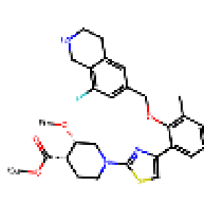 CCO[C@@H]1CN(c2nc(-c3cccc(C)c3OCc3cc(F)c4c(c3)CCNC4)cs2)CC[C@@H]1C(=O)OC(C)(C)C